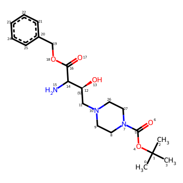 CC(C)(C)OC(=O)N1CCN(C[C@H](O)C(N)C(=O)OCc2ccccc2)CC1